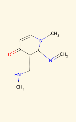 C=NC1C(CNC)C(=O)C=CN1C